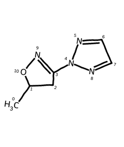 CC1CC(n2nccn2)=NO1